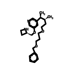 C[C@H](CCOCCCOCc1ccccc1)[C@H](C)c1cncc(OC[C@@H]2CCN2)c1